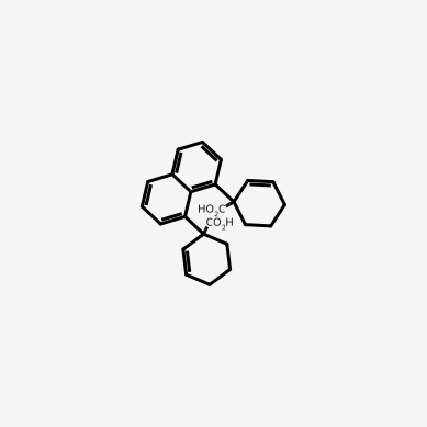 O=C(O)C1(c2cccc3cccc(C4(C(=O)O)C=CCCC4)c23)C=CCCC1